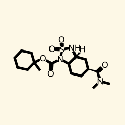 CN(C)C(=O)[C@H]1CCC2[C@@H](C1)NS(=O)(=O)N2C(=O)OC1(C)CCCCC1